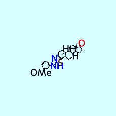 COc1ccccc1Nc1nc2c(s1)C1CC[C@@H]3[C@H](CC[C@]4(C)C(=O)CC[C@@H]34)[C@@]1(C)CC2